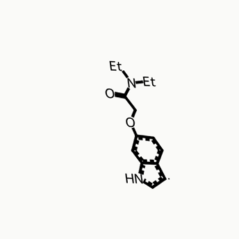 CCN(CC)C(=O)COc1ccc2[c]c[nH]c2c1